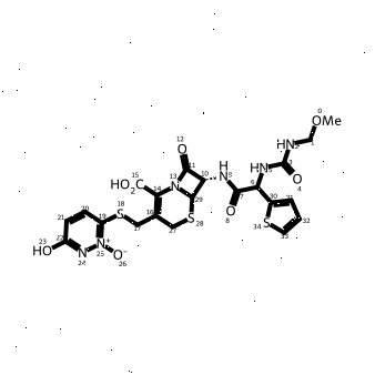 COCNC(=O)NC(C(=O)N[C@H]1C(=O)N2C(C(=O)O)=C(CSc3ccc(O)n[n+]3[O-])CSC12)c1cccs1